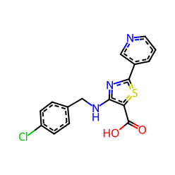 O=C(O)c1sc(-c2cccnc2)nc1NCc1ccc(Cl)cc1